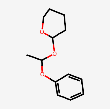 CC(Oc1ccccc1)OC1CCCCO1